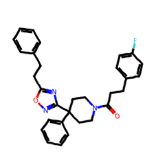 O=C(CCc1ccc(F)cc1)N1CCC(c2ccccc2)(c2noc(CCc3ccccc3)n2)CC1